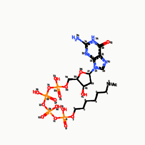 CC(=O)NCCCCCCOP(=O)(O)OP(=O)(O)OP(=O)(O)OP(=O)(O)OC[C@H]1O[C@@H](n2cnc3c(=O)[nH]c(N)nc32)C[C@H]1O